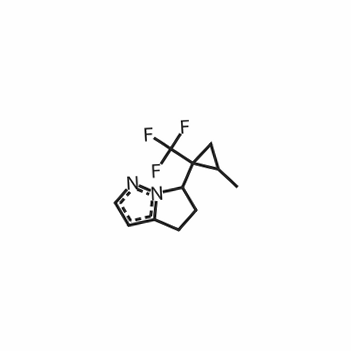 CC1CC1(C1CCc2ccnn21)C(F)(F)F